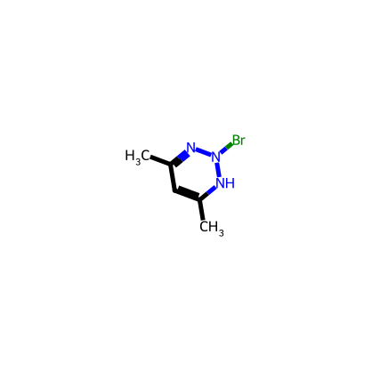 CC1=CC(C)=NN(Br)N1